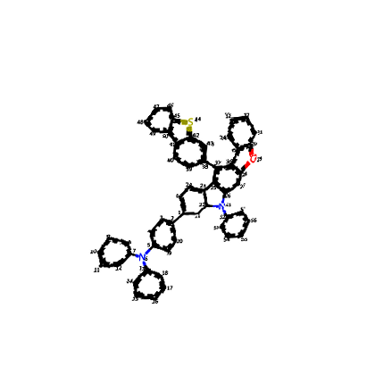 C1=C(c2ccc(N(c3ccccc3)c3ccccc3)cc2)CC2C(=C1)c1c(cc3oc4ccccc4c3c1-c1ccc3c(c1)sc1ccccc13)N2c1ccccc1